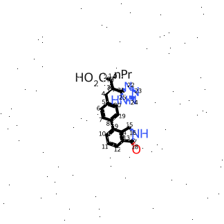 CCC[C@H](C(=O)O)[C@H](Cc1ccc(-c2cccc3c2CNC3=O)cc1)c1nnn[nH]1